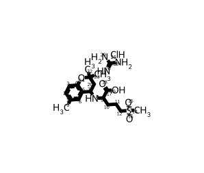 Cc1ccc2c(c1)C(NC(CCCS(C)(=O)=O)C(=O)O)CC(C)(C)O2.Cl.N=C(N)N